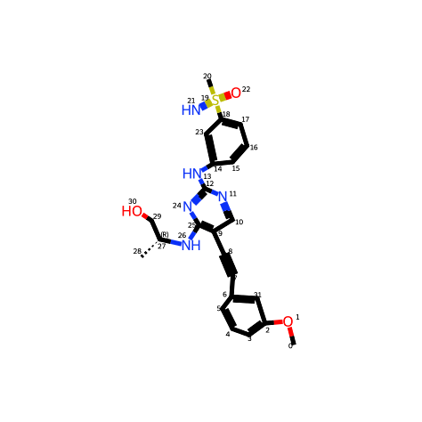 COc1cccc(C#Cc2cnc(Nc3cccc(S(C)(=N)=O)c3)nc2N[C@H](C)CO)c1